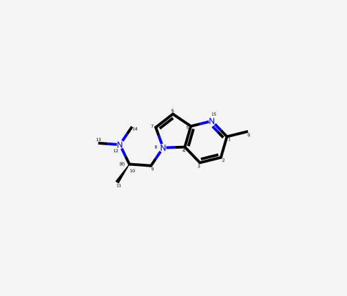 Cc1ccc2c(ccn2C[C@@H](C)N(C)C)n1